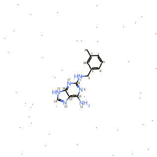 Cc1cccc(CNc2nc(N)c3nc[nH]c3n2)c1